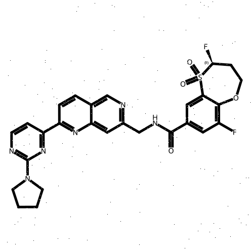 O=C(NCc1cc2nc(-c3ccnc(N4CCCC4)n3)ccc2cn1)c1cc(F)c2c(c1)S(=O)(=O)[C@@H](F)CCO2